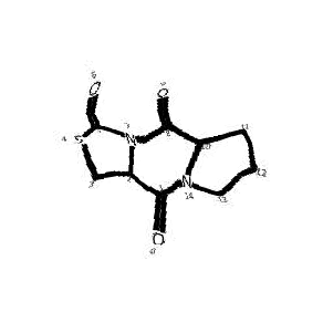 O=C1C2CSC(=O)N2C(=O)C2CCCN12